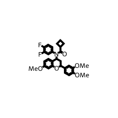 COc1ccc2c(c1)OC(c1ccc(OC)c(OC)c1)CC2N(C(=O)C1CCC1)c1ccc(F)c(F)c1